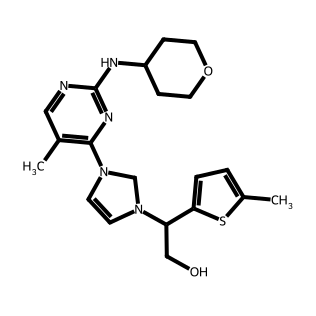 Cc1ccc(C(CO)N2C=CN(c3nc(NC4CCOCC4)ncc3C)C2)s1